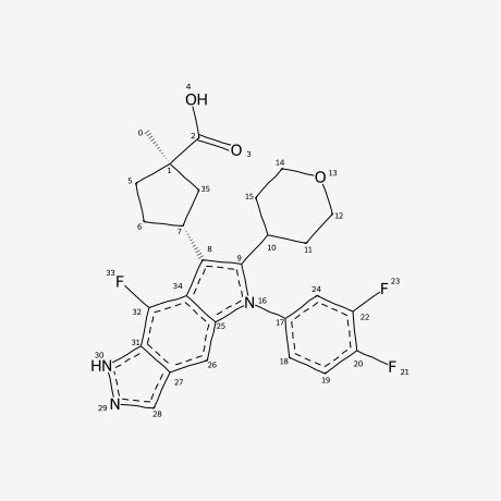 C[C@@]1(C(=O)O)CC[C@@H](c2c(C3CCOCC3)n(-c3ccc(F)c(F)c3)c3cc4cn[nH]c4c(F)c23)C1